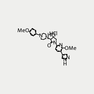 COc1ccc(N2CCN(C3CCN(c4ccc(-c5cn[nH]c5)c(OC)n4)C3=O)CC2)cc1.Cl.Cl